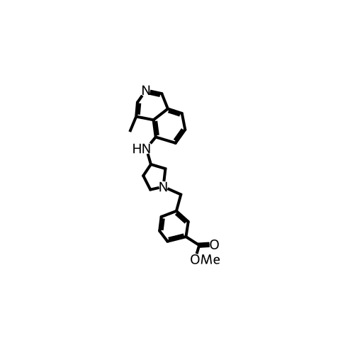 COC(=O)c1cccc(CN2CCC(Nc3cccc4cncc(C)c34)C2)c1